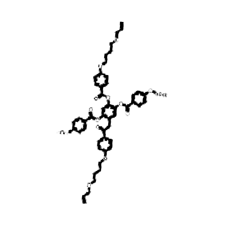 C=CCOCCCCOc1ccc(C(=O)Cc2cc(OC(=O)c3ccc(OCCCCCCCC)cc3)c(OC(=O)c3ccc(OCCCCOCC=C)cc3)cc2OC(=O)c2ccc(CCCCCCCC)cc2)cc1